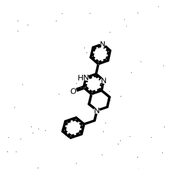 O=c1[nH]c(-c2ccncc2)nc2c1CN(Cc1ccccc1)CC2